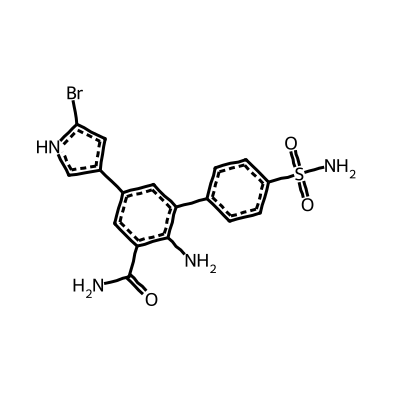 NC(=O)c1cc(-c2c[nH]c(Br)c2)cc(-c2ccc(S(N)(=O)=O)cc2)c1N